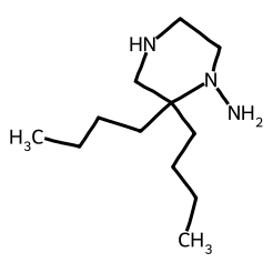 CCCCC1(CCCC)CNCCN1N